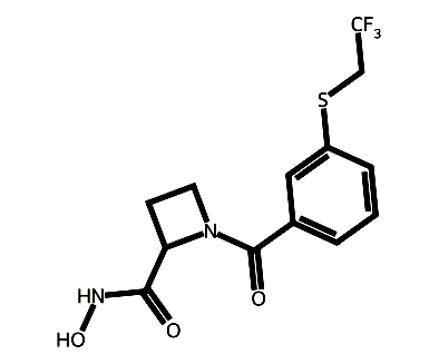 O=C(NO)C1CCN1C(=O)c1cccc(SCC(F)(F)F)c1